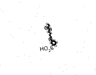 C=CC(=O)OCCCCOc1cccc(C(=O)O)c1